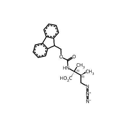 C[C@@H](CN=[N+]=[N-])[C@](C)(NC(=O)OCC1c2ccccc2-c2ccccc21)C(=O)O